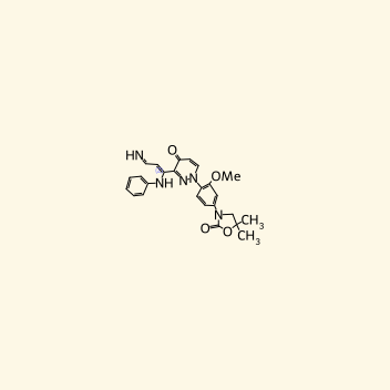 COc1cc(N2CC(C)(C)OC2=O)ccc1-n1ccc(=O)c(/C(=C/C=N)Nc2ccccc2)n1